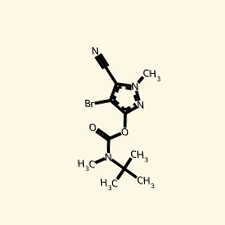 CN(C(=O)Oc1nn(C)c(C#N)c1Br)C(C)(C)C